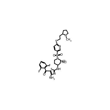 CN1CCCC1CCSc1ccc(S(=O)(=O)N2CCC(Nc3nc(N)c(C(=O)c4c(F)cccc4F)s3)CC2)cn1.Cl.Cl